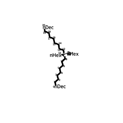 CCCCCCCCCCCCCCCCCC[P+](CCCCCC)(CCCCCC)CCCCCCCCCCCCCCCCCC.[Br-]